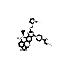 C=CC(=O)N1CCN(c2nc(OC[C@@H]3CCCN3C)nc3c(OC4CC4)c(-c4c(C)ccc5[nH]nc(F)c45)c(Cl)cc23)CC1